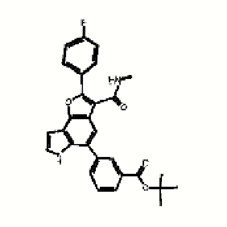 CNC(=O)c1c(-c2ccc(F)cc2)oc2c1cc(-c1cccc(C(=O)OC(C)(C)C)c1)c1[nH]ccc12